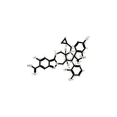 O=C(O)c1cc2nn3c(c2cc1F)OC[C@H]1[C@@H](C3)[C@H](c2cccc(Cl)c2F)[C@]2(C(=O)Nc3cc(Cl)ccc32)N1CC1CC1